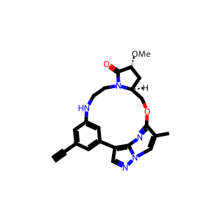 C#Cc1cc2cc(c1)-c1cnn3cc(C)c(nc13)OC[C@@H]1C[C@@H](OC)C(=O)N1CCN2